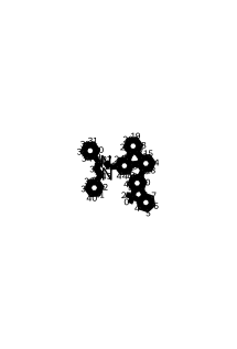 CC1(C)c2ccccc2-c2cc(-c3cccc4c5ccccc5c5cc(-c6nc(-c7ccccc7)cc(-c7ccccc7)n6)ccc5c34)ccc21